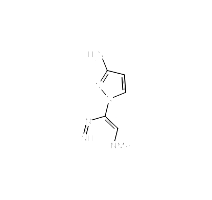 CN/C=C(\N=N)n1ccc(N)n1